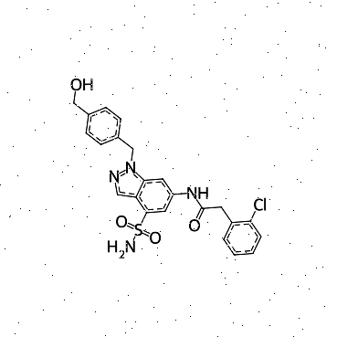 NS(=O)(=O)c1cc(NC(=O)Cc2ccccc2Cl)cc2c1cnn2Cc1ccc(CO)cc1